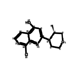 C[C@@H]1COCCN1c1cc(O)c2ccnc(Cl)c2n1